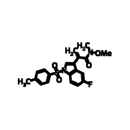 C=C(C(=O)N(C)OC)c1cn(S(=O)(=O)c2ccc(C)cc2)c2ccc(F)cc12